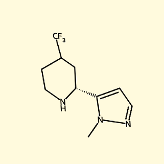 Cn1nccc1[C@H]1CC(C(F)(F)F)CCN1